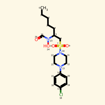 CCCCCC(CS(=O)(=O)N1CCN(c2ccc(Cl)cc2)CC1)N(O)C=O